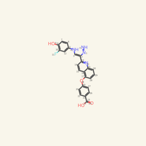 N=N/C(=C\Nc1ccc(O)c(F)c1)c1ccc2c(Oc3ccc(C(=O)O)cc3)cccc2n1